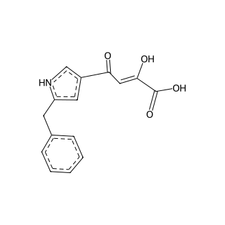 O=C(O)C(O)=CC(=O)c1c[nH]c(Cc2ccccc2)c1